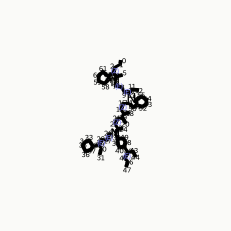 C=C/C=c1\c(=C)n(/C=C/C=C(\C=C)n2c(/C=C\C(=C)C(=C)/C=C\C(=C)N(/C=C/C=C(\C=C)c3ccccc3)c3ccc(/C(C=C)=C/C=C)cc3)cc3ccccc32)c2ccccc12